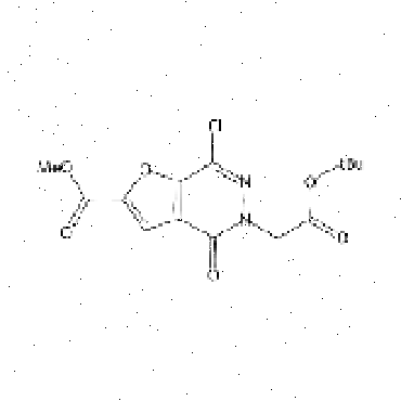 COC(=O)c1cc2c(=O)n(CC(=O)OC(C)(C)C)nc(Cl)c2o1